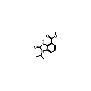 COC(=O)c1cccc2c1[nH]c(=O)n2C(C)C